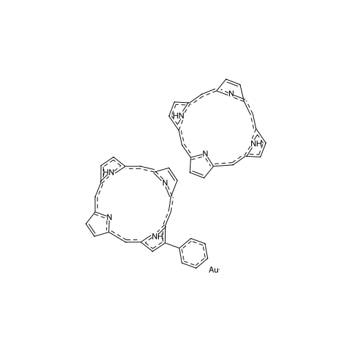 C1=Cc2cc3cc(-c4ccccc4)c(cc4nc(cc5ccc(cc1n2)[nH]5)C=C4)[nH]3.C1=Cc2cc3ccc(cc4nc(cc5ccc(cc1n2)[nH]5)C=C4)[nH]3.[Au]